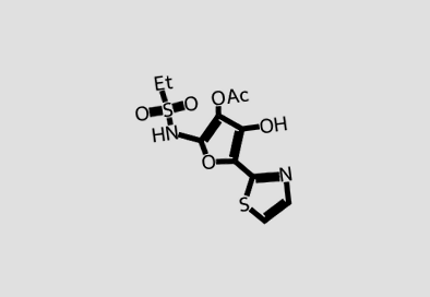 CCS(=O)(=O)Nc1oc(-c2nccs2)c(O)c1OC(C)=O